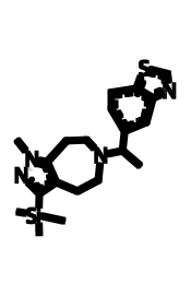 CC(c1ccc2scnc2c1)N1CCc2c([Si](C)(C)C)nn(C)c2CC1